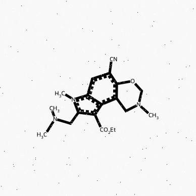 CCOC(=O)c1c(CN(C)C)n(C)c2cc(C#N)c3c(c12)CN(C)CO3